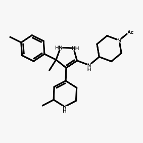 CC(=O)N1CCC(NC2=C(C3=CC(C)NCC3)C(C)(c3ccc(C)cc3)NN2)CC1